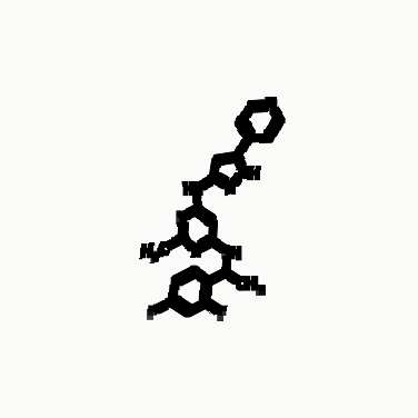 Cc1nc(Nc2cc(-c3ccncc3)[nH]n2)cc(NC(C)c2ccc(F)cc2F)n1